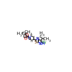 CC(C)c1c(Br)[nH]c2sc(C3CCN(C(=O)OC(C)(C)C)CC3)nc12